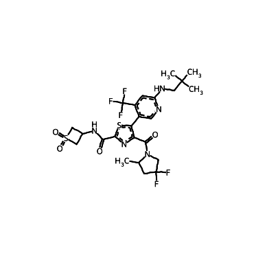 CC1CC(F)(F)CN1C(=O)c1nc(C(=O)NC2CS(=O)(=O)C2)sc1-c1cnc(NCC(C)(C)C)cc1C(F)(F)F